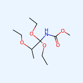 CCOC(C)C(NC(=O)OC)(OCC)OCC